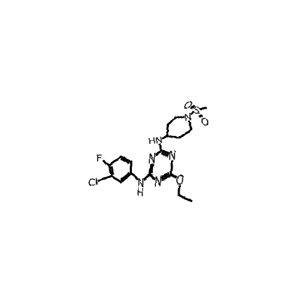 CCOc1nc(Nc2ccc(F)c(Cl)c2)nc(NC2CCN(S(C)(=O)=O)CC2)n1